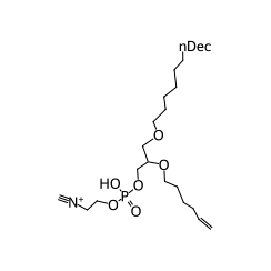 C#[N+]CCOP(=O)(O)OCC(COCCCCCCCCCCCCCCCC)OCCCCC=C